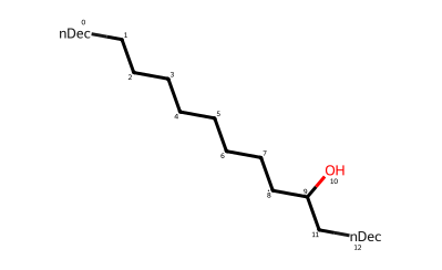 CCCCCCCCCCCCCCCCC[CH]C(O)CCCCCCCCCCC